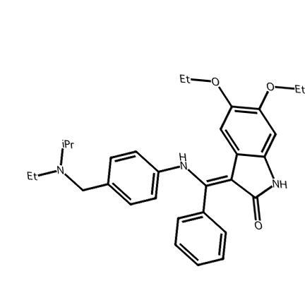 CCOc1cc2c(cc1OCC)C(=C(Nc1ccc(CN(CC)C(C)C)cc1)c1ccccc1)C(=O)N2